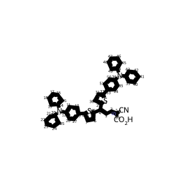 N#C/C(=C/C=C(c1ccc(-c2ccc(N(c3ccccc3)c3ccccc3)cc2)s1)c1ccc(-c2ccc(N(c3ccccc3)c3ccccc3)cc2)s1)C(=O)O